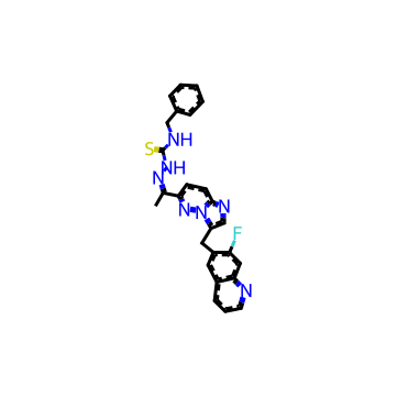 C/C(=N/NC(=S)NCc1ccccc1)c1ccc2ncc(Cc3cc4cccnc4cc3F)n2n1